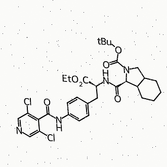 CCOC(=O)[C@H](Cc1ccc(NC(=O)c2c(Cl)cncc2Cl)cc1)NC(=O)[C@@H]1C2CCCCC2CN1C(=O)OC(C)(C)C